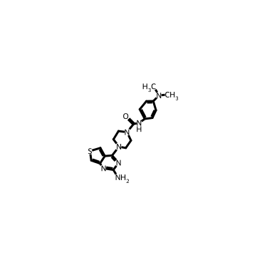 CN(C)c1ccc(NC(=O)N2CCN(c3nc(N)nc4cscc34)CC2)cc1